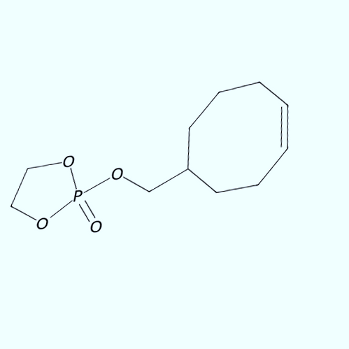 O=P1(OCC2CC/C=C\CCC2)OCCO1